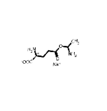 CC(N)OC(=O)CC[C@H](N)C(=O)[O-].[Na+]